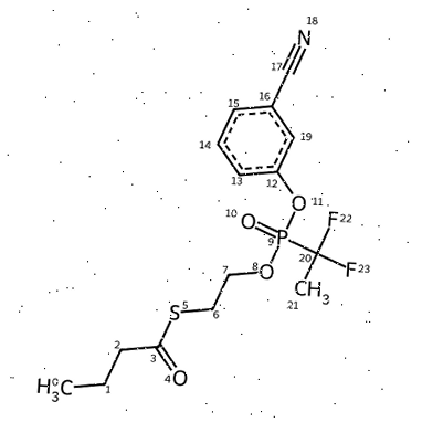 CCCC(=O)SCCOP(=O)(Oc1cccc(C#N)c1)C(C)(F)F